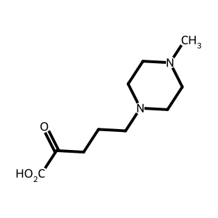 CN1CCN(CCCC(=O)C(=O)O)CC1